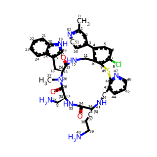 Cc1cc(-c2ccc(Cl)c3c2CNC(=O)[C@H](Cc2c[nH]c4ccccc24)N(C)C(=O)[C@H](CN)NC(=O)[C@H](CCCN)NCc2cccnc2S3)ccn1